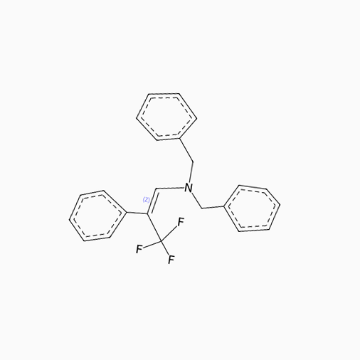 FC(F)(F)/C(=C\N(Cc1ccccc1)Cc1ccccc1)c1ccccc1